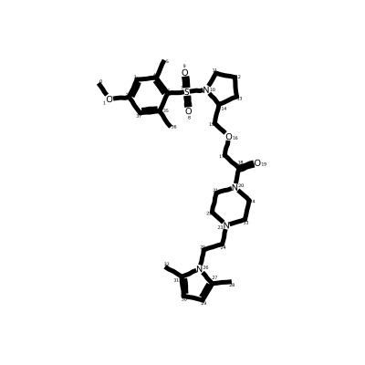 COc1cc(C)c(S(=O)(=O)N2CCCC2COCC(=O)N2CCN(CCn3c(C)ccc3C)CC2)c(C)c1